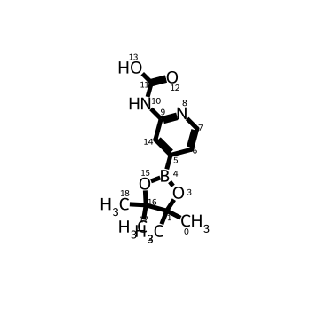 CC1(C)OB(c2ccnc(NC(=O)O)c2)OC1(C)C